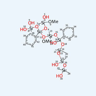 CO[Si](C)(O)O[Si](O[Si](C)(O)O)(O[Si](C)(OC)O[Si](O)(O[Si](C)(C)O[Si](C)(O)O[Si](C)(C)O)c1ccccc1)c1ccccc1